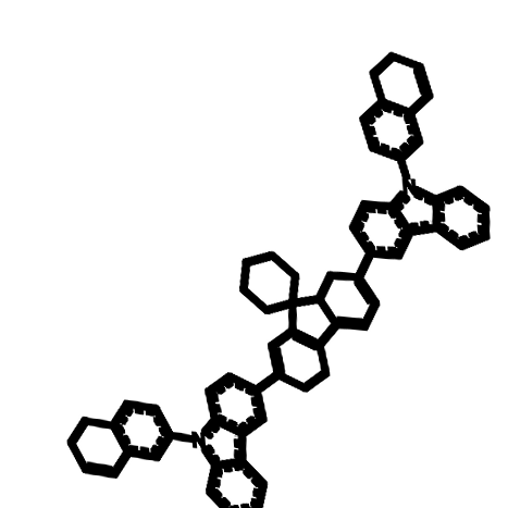 C1=Cc2cc(-n3c4ccccc4c4cc(C5=CC6=C(CC5)C5=CC=C(c7ccc8c(c7)c7ccccc7n8-c7ccc8c(c7)C=CCC8)CC5C65CCCCC5)ccc43)ccc2CC1